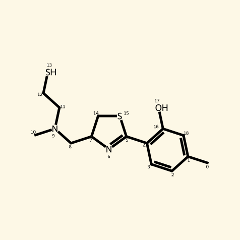 Cc1ccc(C2=NC(CN(C)CCS)CS2)c(O)c1